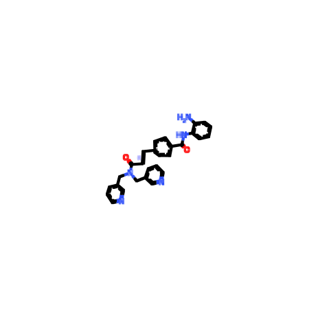 Nc1ccccc1NC(=O)c1ccc(/C=C/C(=O)N(Cc2cccnc2)Cc2cccnc2)cc1